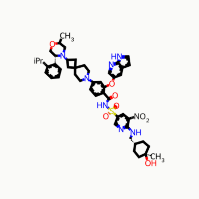 CC1CN(C2CC3(CCN(c4ccc(C(=O)NS(=O)(=O)c5cnc(NC[C@H]6CC[C@](C)(O)CC6)c([N+](=O)[O-])c5)c(Oc5cnc6[nH]ccc6c5)c4)CC3)C2)[C@H](c2ccccc2C(C)C)CO1